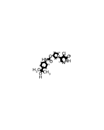 CC(C)(O)C1CCC(NC(=O)O[C@@H]2CCN(c3cn[nH]c(=O)c3Cl)C2)CC1